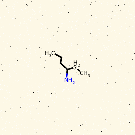 CCCC(N)[SiH2]C